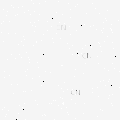 N#Cc1cccc(C#N)c1C#N